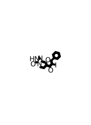 O=c1c(I)c(-c2ccccc2)oc2c1ccn1c(=O)[nH]nc21